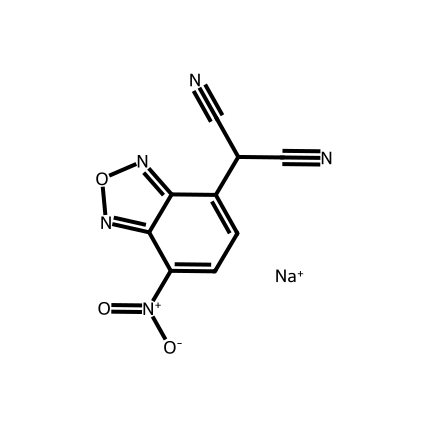 N#CC(C#N)c1ccc([N+](=O)[O-])c2nonc12.[Na+]